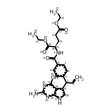 C=CC(c1ccc(C(=O)N[C@H](CCC(=O)OCC)C(=O)OCC)cc1)c1c[nH]c2nc(N)nc(O)c12